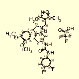 COc1ccc([C@@]23CC[C@@H](NC(=O)Nc4ccc(F)c(F)c4)C[C@@H]2N(Cc2c(C)noc2C)CC3)cc1OC.O=C(O)C(F)(F)F